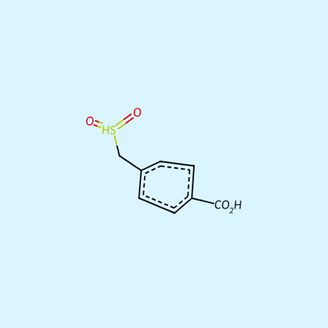 O=C(O)c1ccc(C[SH](=O)=O)cc1